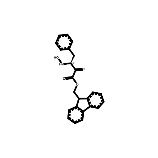 O=C(OCC1c2ccccc2-c2ccccc21)C(=O)[C@H](Cc1ccccc1)NO